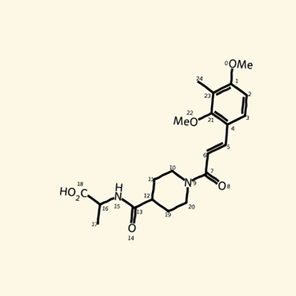 COc1ccc(C=CC(=O)N2CCC(C(=O)NC(C)C(=O)O)CC2)c(OC)c1C